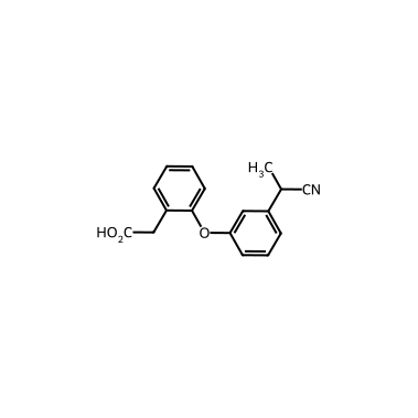 CC(C#N)c1cccc(Oc2ccccc2CC(=O)O)c1